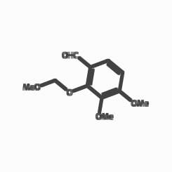 COCOc1c(C=O)ccc(OC)c1OC